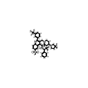 CS(=O)(=O)c1ccc2nc(-c3cccc(C(F)(F)F)c3)c(CN3CCC(N4CCC(F)(F)C4)CC3)c(C(=O)NC(c3ccccc3)C(F)(F)F)c2c1